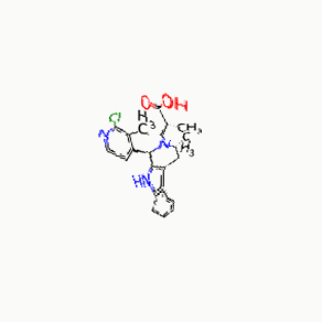 Cc1c([C@@H]2c3[nH]c4ccccc4c3C[C@@H](C)N2C[C@@H](C)C(=O)O)ccnc1Cl